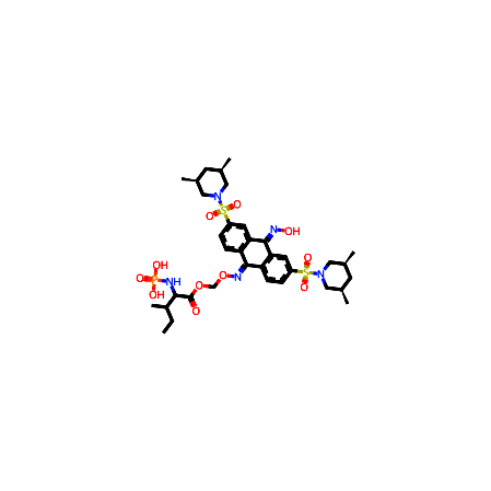 CCC(C)C(NP(=O)(O)O)C(=O)OCON=C1c2ccc(S(=O)(=O)N3C[C@H](C)C[C@H](C)C3)cc2C(=NO)c2cc(S(=O)(=O)N3C[C@H](C)C[C@H](C)C3)ccc21